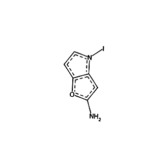 Nc1cc2c(ccn2I)o1